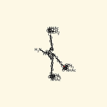 CC(=O)NC1C2OC[C@](COCCOCCOCCOCCn3cc(COCC(COCc4cn(CCOCCOCCOCCOC[C@@]56CO[C@@H](O5)[C@H](NC(C)=O)C5OC(C)(C)OC56)nn4)(COCc4cn(CCOCCOCCOCCOC[C@@]56COC(O5)C(NC(C)=O)[C@H]5OC(C)(C)O[C@H]56)nn4)NC(=O)CCCCCN)nn3)(O2)[C@@H]2OC(C)(C)O[C@H]12